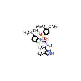 CCN(C(=O)CN(c1cc(N(C)C)ccc1Cl)S(=O)(=O)c1ccc(OC)c(OC)c1)C(C)c1n[nH]cc1C